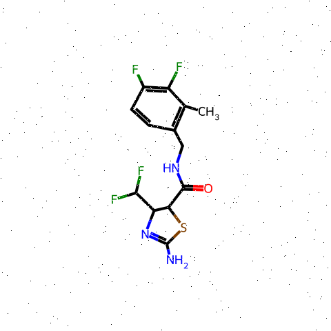 Cc1c(CNC(=O)C2SC(N)=NC2C(F)F)ccc(F)c1F